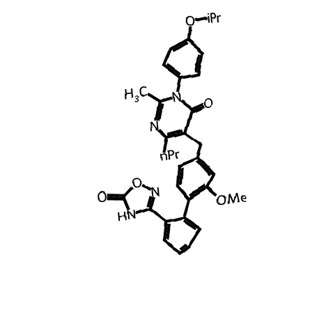 CCCc1nc(C)n(-c2ccc(OC(C)C)cc2)c(=O)c1Cc1ccc(-c2ccccc2-c2noc(=O)[nH]2)c(OC)c1